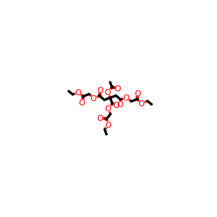 CCOC(=O)COC(=O)CC(CC(=O)OCC(=O)OCC)(OC(C)=O)C(=O)OCC(=O)OCC